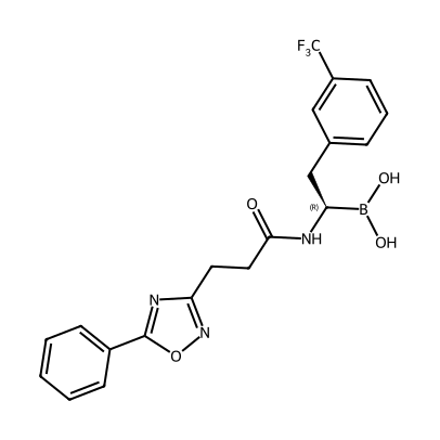 O=C(CCc1noc(-c2ccccc2)n1)N[C@@H](Cc1cccc(C(F)(F)F)c1)B(O)O